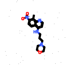 Cc1c([N+](=O)[O-])ccc2c(NCCCN3CCOCC3)ccnc12